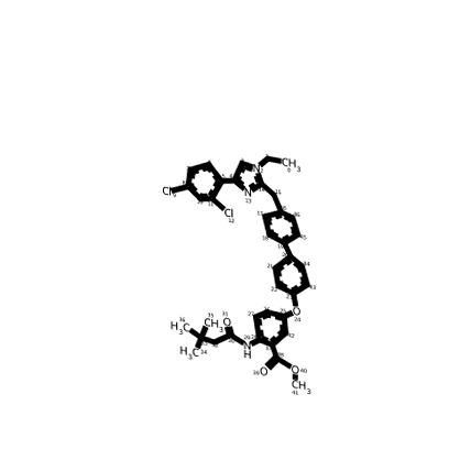 CCn1cc(-c2ccc(Cl)cc2Cl)nc1Cc1ccc(-c2ccc(Oc3ccc(NC(=O)CC(C)(C)C)c(C(=O)OC)c3)cc2)cc1